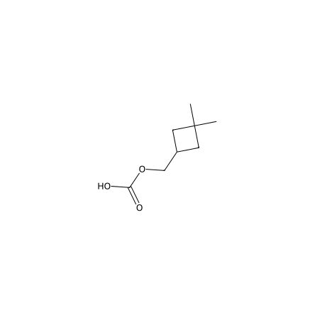 CC1(C)CC(COC(=O)O)C1